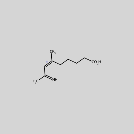 N=C(/C=C(\CCCCC(=O)O)C(F)(F)F)C(F)(F)F